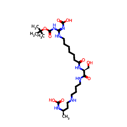 C[C@H](CCNCCCCNC(=O)[C@H](CO)NC(=O)CCCCCCNC(=NC(=O)O)NC(=O)OC(C)(C)C)NC(=O)O